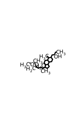 C=C(CCC(C)C1CCC2C3CCC(CC(O)CC)C(C)C3CCC12C)OC(C)OCC